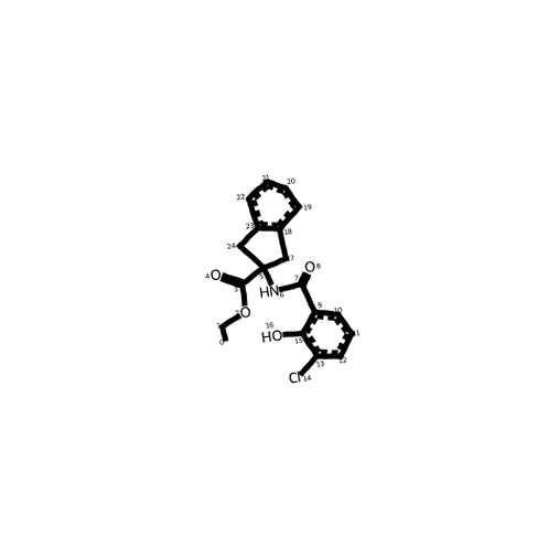 CCOC(=O)C1(NC(=O)c2cccc(Cl)c2O)Cc2ccccc2C1